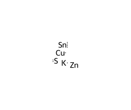 [Cu].[K].[S].[Sn].[Zn]